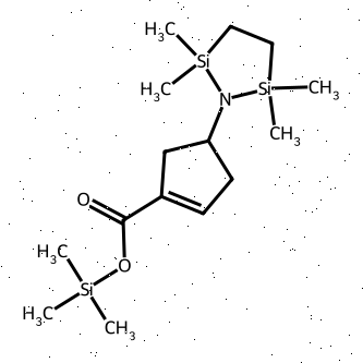 C[Si](C)(C)OC(=O)C1=CCC(N2[Si](C)(C)CC[Si]2(C)C)C1